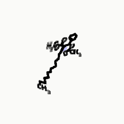 CCCCCCCCCCCC/C=C(\C(=O)OC)C(OC(C)=O)c1ccccc1